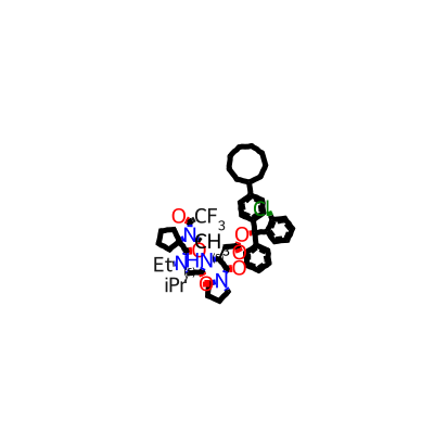 CCN(C(=O)C1(N(C)C(=O)C(F)(F)F)CCCC1)[C@H](C(=O)N[C@@H](CC(=O)OC(c1ccccc1)(c1ccc(C2CCCCCCCC2)cc1)c1ccccc1Cl)C(=O)N1CCCC1)C(C)C